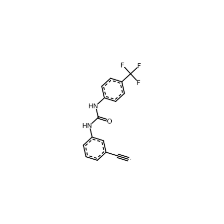 [C]#Cc1cccc(NC(=O)Nc2ccc(C(F)(F)F)cc2)c1